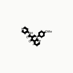 COC1CCC(n2cc(C(=O)Nc3ccncc3)c(=O)c3cccnc32)CC1